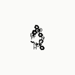 CCCNCOC(c1ccccc1)N1CCC(N(C)c2ccc(NC(=O)c3ccccc3-c3ccc(C(F)(F)F)cc3)cc2)CC1